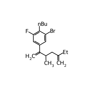 C=C(CC)CC(C)C(=C)c1cc(F)c(CCCC)c(Br)c1